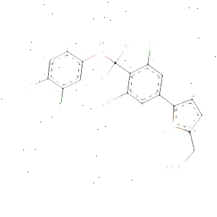 CCc1ccc(-c2cc(F)c(C(F)(F)Oc3ccc(F)c(F)c3)c(F)c2)s1